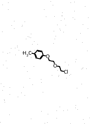 [CH2]c1ccc(OCCOCCCl)cc1